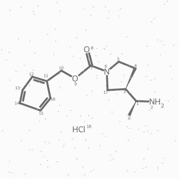 C[C@H](N)[C@@H]1CCN(C(=O)OCc2ccccc2)C1.Cl